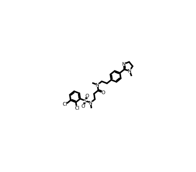 CN(CCc1ccc(C2=NCCN2C)cc1)C(=O)CCN(C)S(=O)(=O)c1cccc(Cl)c1Cl